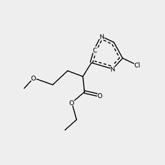 CCOC(=O)C(CCOC)c1cncc(Cl)n1